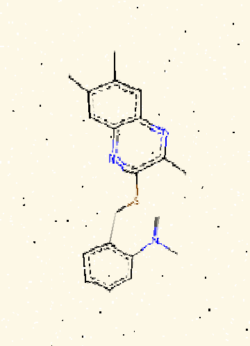 Cc1cc2nc(C)c(SCc3ccccc3N(C)C)nc2cc1C